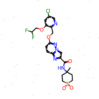 CC1(NC(=O)c2cn3nc(OCc4ncc(Cl)cc4OCC(F)F)ccc3n2)CCS(=O)(=O)CC1